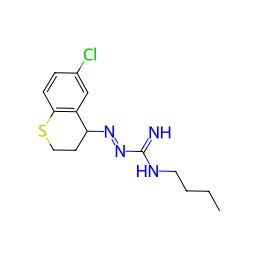 CCCCNC(=N)N=NC1CCSc2ccc(Cl)cc21